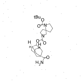 CC(C)(C)OC(=O)N1CCCC12CCN(C(=O)OC1[C@@H]3CC4C[C@@H]1CC(C(N)=O)(C4)C3)C2